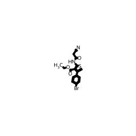 CCOC(=O)c1c(-c2ccc(Br)cc2)csc1NC(=O)CC#N